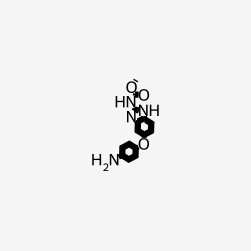 COC(=O)Nc1nc2cc(Oc3ccc(N)cc3)ccc2[nH]1